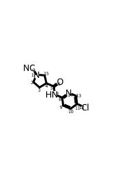 N#CN1CCC(C(=O)Nc2ccc(Cl)cn2)C1